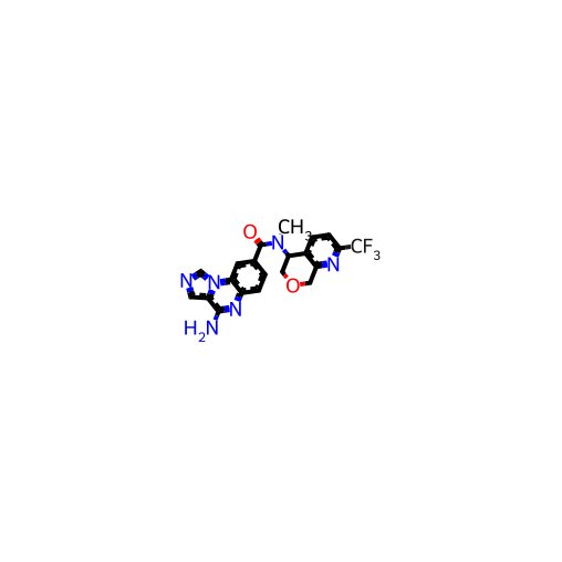 CN(C(=O)c1ccc2nc(N)c3cncn3c2c1)C1COCc2nc(C(F)(F)F)ccc21